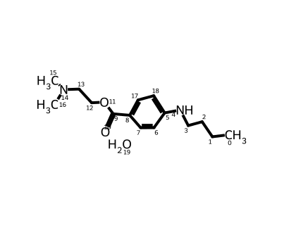 CCCCNc1ccc(C(=O)OCCN(C)C)cc1.O